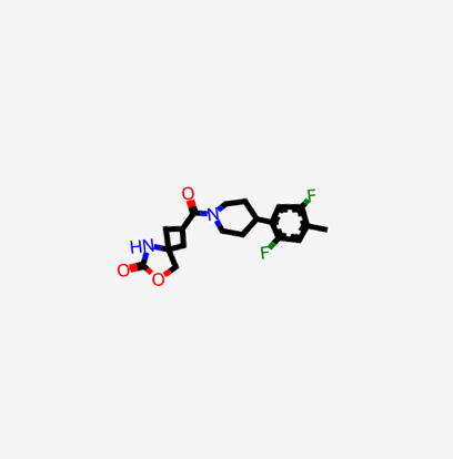 Cc1cc(F)c(C2CCN(C(=O)C3CC4(COC(=O)N4)C3)CC2)cc1F